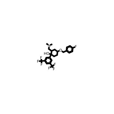 CN(C)CC1CC(OCc2ccc(F)cc2)CCC1(O)c1cc(C(F)(F)F)cc(C(F)(F)F)c1